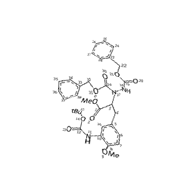 COC(=O)C(Cc1ccc(OC)c(NC(=O)OC(C)(C)C)c1)N(NC(=O)OCc1ccccc1)C(=O)OCc1ccccc1